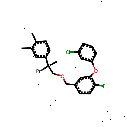 Cc1ccc(C(C)(COCc2ccc(F)c(Oc3cccc(Cl)c3)c2)C(C)C)cc1C